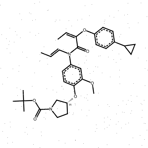 CC=CN(C(=O)C(=CC)Oc1ccc(C2CC2)cc1)c1ccc(O[C@@H]2CCN(C(=O)OC(C)(C)C)C2)c(OC)c1